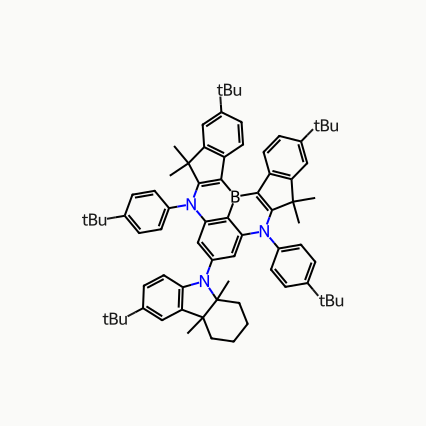 CC(C)(C)c1ccc(N2C3=C(B4C5=C(N(c6ccc(C(C)(C)C)cc6)c6cc(N7c8ccc(C(C)(C)C)cc8C8(C)CCCCC78C)cc2c64)C(C)(C)c2cc(C(C)(C)C)ccc25)c2ccc(C(C)(C)C)cc2C3(C)C)cc1